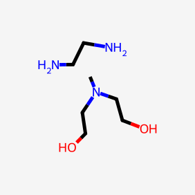 CN(CCO)CCO.NCCN